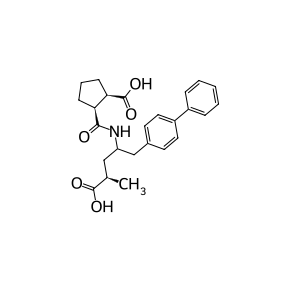 C[C@H](CC(Cc1ccc(-c2ccccc2)cc1)NC(=O)[C@H]1CCC[C@H]1C(=O)O)C(=O)O